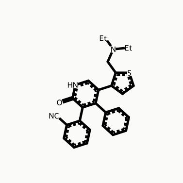 CCN(CC)Cc1sccc1-c1c[nH]c(=O)c(-c2ccccc2C#N)c1-c1ccccc1